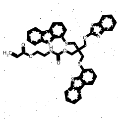 C=CC(=O)OCCNC(=O)OCC(COc1nc2ccccc2s1)(CSc1cccc2c1sc1ccccc12)CSc1cccc2c1sc1ccccc12